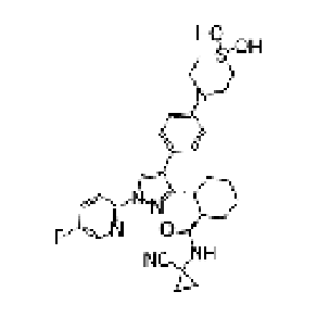 N#CC1(NC(=O)[C@@H]2CCCC[C@H]2c2nn(-c3ccc(F)cn3)cc2-c2ccc(N3CCS(O)(O)CC3)cc2)CC1